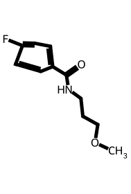 COCCCNC(=O)c1ccc(F)cc1